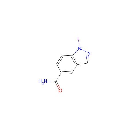 NC(=O)c1ccc2c(cnn2I)c1